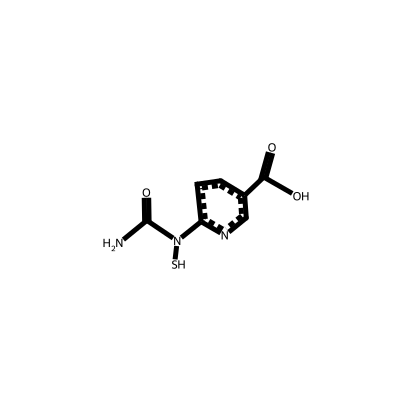 NC(=O)N(S)c1ccc(C(=O)O)cn1